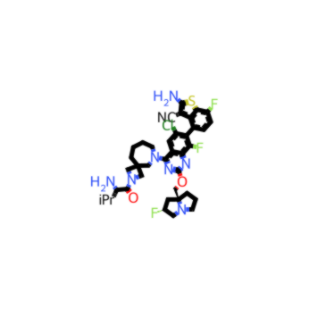 CC(C)C(N)C(=O)N1CC2(CCCCN(c3nc(OC[C@@]45CCCN4C[C@H](F)C5)nc4c(F)c(-c5ccc(F)c6sc(N)c(C#N)c56)c(Cl)cc34)C2)C1